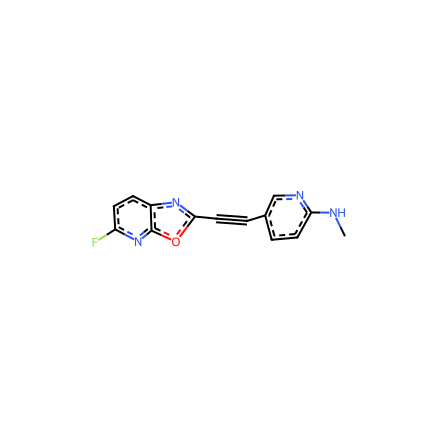 CNc1ccc(C#Cc2nc3ccc(F)nc3o2)cn1